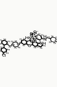 O=C(NS(=O)(=O)C1([N+](=O)[O-])C=CC(NCC2CCOCC2)=CC1)c1ccc(N2CCN(Cc3ccccc3-c3ccc(Cl)cc3)CC2)cc1Oc1cnc2[nH]ccc2c1